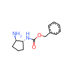 N[C@@H]1CCC[C@H]1NC(=O)OCc1ccccc1